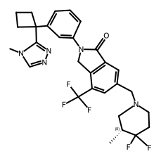 C[C@@H]1CN(Cc2cc3c(c(C(F)(F)F)c2)CN(c2cccc(C4(c5nncn5C)CCC4)c2)C3=O)CCC1(F)F